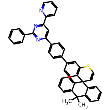 CC1(C)c2ccccc2C2(c3ccccc3Sc3cc(-c4ccc(-c5cc(-c6ccccn6)nc(-c6ccccc6)n5)cc4)ccc32)c2ccccc21